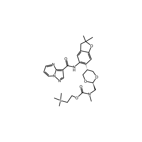 CN(C[C@H]1OC[C@H](c2cc3c(cc2NC(=O)c2cnn4cccnc24)CC(C)(C)O3)CO1)C(=O)OCCS(C)(C)C